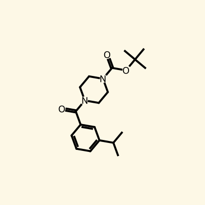 CC(C)c1cccc(C(=O)N2CCN(C(=O)OC(C)(C)C)CC2)c1